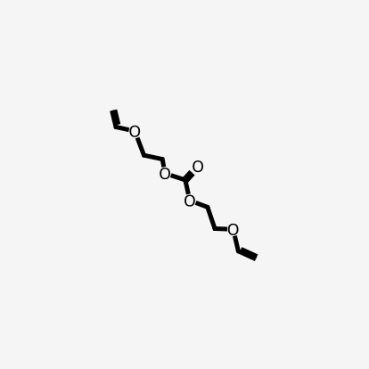 C=COCCOC(=O)OCCOC=C